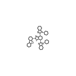 c1ccc(-n2c(-c3ccc(-c4nc5ccccc5n4-c4ccccc4)c4sc(-c5cccc6c5oc5ccccc56)nc34)nc3ccccc32)cc1